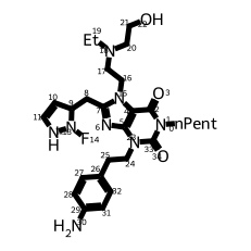 CCCCCn1c(=O)c2c(nc(CC3C=CNN3F)n2CCN(CC)CCO)n(CCc2ccc(N)cc2)c1=O